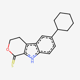 S=C1OCCc2c1[nH]c1ccc(C3CCCCC3)cc21